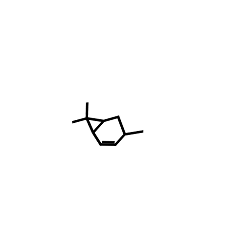 CC1C=CC2C(C1)C2(C)C